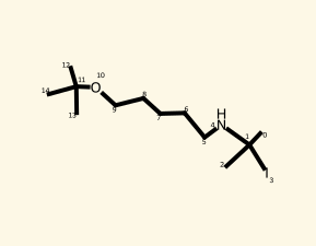 CC(C)(I)NCCCCCOC(C)(C)C